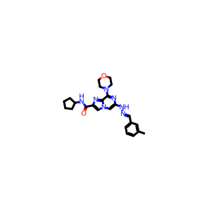 Cc1cccc(/C=N/Nc2cn3cc(C(=O)NC4CCCC4)nc3c(N3CCOCC3)n2)c1